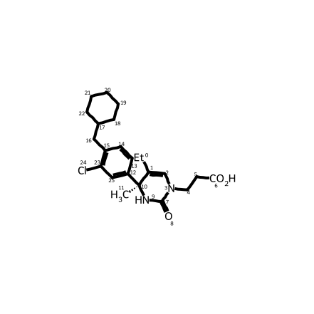 CCC1=CN(CCC(=O)O)C(=O)N[C@@]1(C)c1ccc(CC2CCCCC2)c(Cl)c1